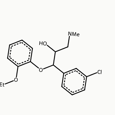 CCOc1ccccc1OC(c1cccc(Cl)c1)C(O)CNC